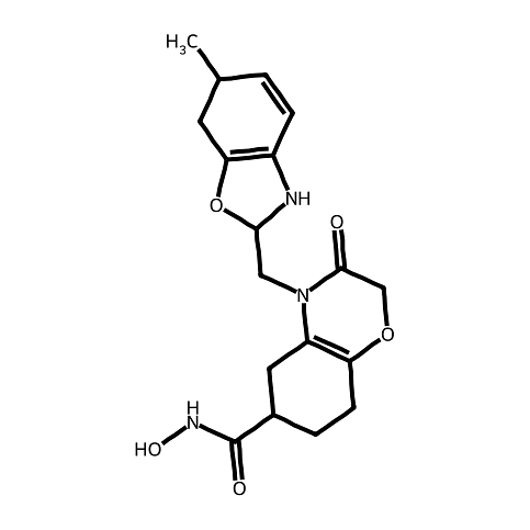 CC1C=CC2=C(C1)OC(CN1C(=O)COC3=C1CC(C(=O)NO)CC3)N2